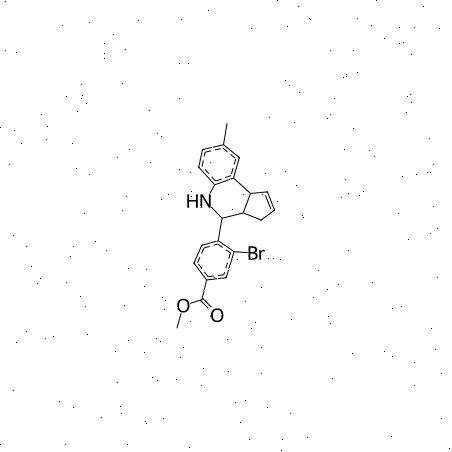 COC(=O)c1ccc(C2Nc3ccc(C)cc3C3C=CCC32)c(Br)c1